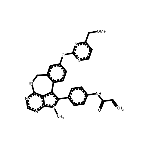 C=CC(=O)Nc1ccc(-c2c3c4c(ncnc4n2C)NCc2cc(Oc4nccc(COC)n4)ccc2-3)cc1